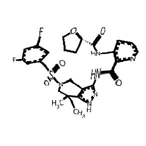 CC1(C)CN(S(=O)(=O)c2cc(F)cc(F)c2)Cc2c(NC(=O)c3ncccc3NC(=O)[C@@H]3CCCO3)n[nH]c21